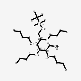 CCCCO[C@@H]([C@H](OCCCC)[C@@H](CO[Si](C)(C)C(C)(C)C)OCCCC)[C@@H](CO)OCCCC